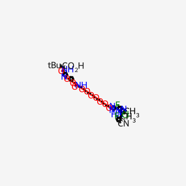 Cc1nc2cc(F)c(-c3cnc(OCCOCCOCCOCCOCCOCCOCCNC(=O)COc4cccc(Oc5ccc(C(=O)N[C@@H](CCC(C)(C)C)C(=O)O)cn5)c4)nc3)nc2c(N[C@H](C)c2cc(C#N)ccc2F)c1Cl